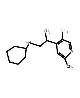 Cc1cc(C(C)CNC2CCCCC2)c(C)cn1